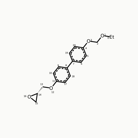 CCOCOc1ccc(-c2ccc(OC[C@@H]3CO3)cc2)cc1